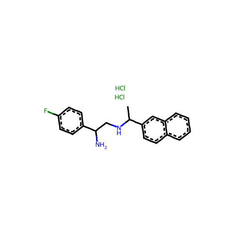 CC(NCC(N)c1ccc(F)cc1)c1ccc2ccccc2c1.Cl.Cl